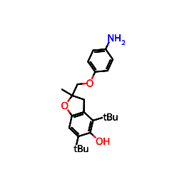 CC1(COc2ccc(N)cc2)Cc2c(cc(C(C)(C)C)c(O)c2C(C)(C)C)O1